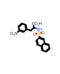 O=C(O)C(Cc1cccc([N+](=O)[O-])c1)NS(=O)(=O)c1ccc2ccccc2c1